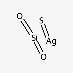 O=[Si]=O.[S]=[Ag]